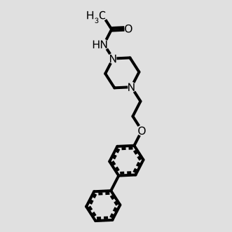 CC(=O)NN1CCN(CCOc2ccc(-c3ccccc3)cc2)CC1